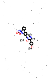 CCCc1nc(C)c(-c2ccc(OC(C)CC)cc2)c(=O)n1Cc1ccc(-c2ccccc2-c2noc(=O)[nH]2)cc1.[KH]